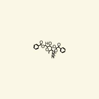 CC1OC(COC(=O)c2ccccc2)[C@@H](O)[C@H](OC(=O)C(=O)c2ccccc2)C1N=[N+]=[N-]